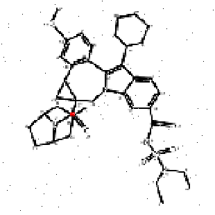 CCN(CC)S(=O)(=O)NC(=O)c1ccc2c(C3CCCCC3)c3n(c2c1)CC1(C(=O)N2C4CCC2CN(C)C4)CC1c1cc(OC)ccc1-3